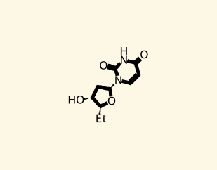 CC[C@H]1O[C@@H](n2ccc(=O)[nH]c2=O)C[C@H]1O